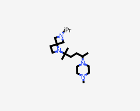 CC(C)N1CC2(CCN2C(C)(C)CCC(C)N2CCN(C)CC2)C1